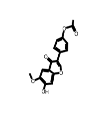 COc1cc2c(=O)c(-c3ccc(OC(C)=O)cc3)coc2cc1O